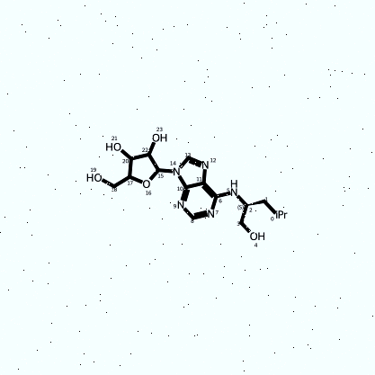 CC(C)C[C@@H](CO)Nc1ncnc2c1ncn2C1OC(CO)C(O)C1O